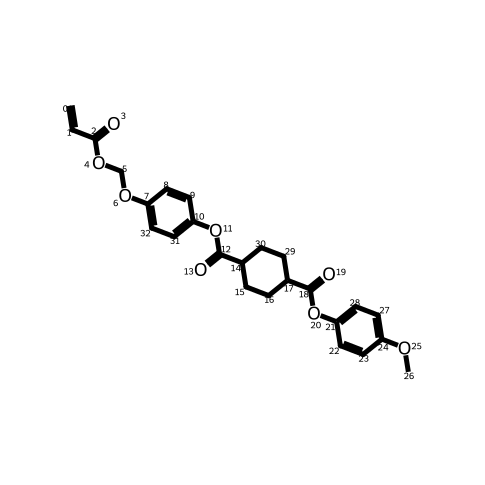 C=CC(=O)OCOc1ccc(OC(=O)C2CCC(C(=O)Oc3ccc(OC)cc3)CC2)cc1